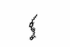 CCCCCCCc1ccc(-c2ccc(C=NN=Cc3ccccc3CC)cc2F)cc1